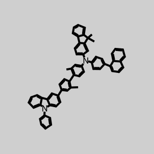 Cc1cc(-c2ccc3c(c2)c2ccccc2n3-c2ccccc2)ccc1-c1ccc(N(c2ccc(-c3cccc4ccccc34)cc2)c2ccc3c(c2)C(C)(C)c2ccccc2-3)cc1C